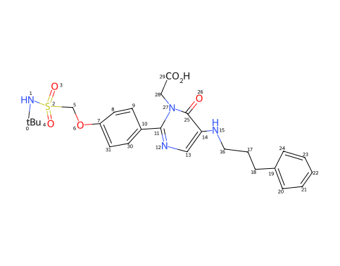 CC(C)(C)NS(=O)(=O)COc1ccc(-c2ncc(NCCCc3ccccc3)c(=O)n2CC(=O)O)cc1